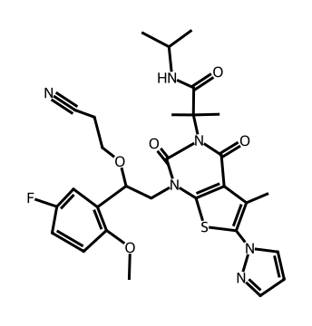 COc1ccc(F)cc1C(Cn1c(=O)n(C(C)(C)C(=O)NC(C)C)c(=O)c2c(C)c(-n3cccn3)sc21)OCCC#N